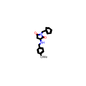 COc1ccc(CNC2CC(=O)N(Cc3ccccc3)C2=O)cc1